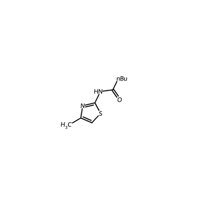 CCCCC(=O)Nc1nc(C)cs1